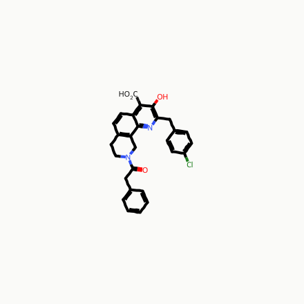 O=C(O)c1c(O)c(Cc2ccc(Cl)cc2)nc2c3c(ccc12)CCN(C(=O)Cc1ccccc1)C3